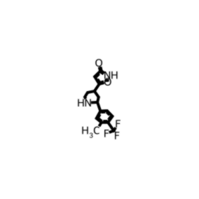 Cc1cc(C2CC(c3cc(=O)[nH]o3)CCN2)ccc1C(F)(F)F